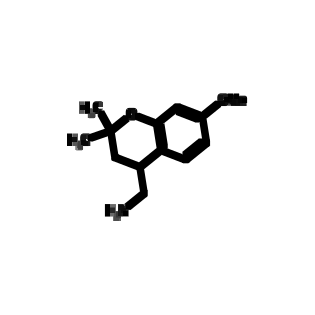 COc1ccc2c(c1)OC(C)(C)CC2CN